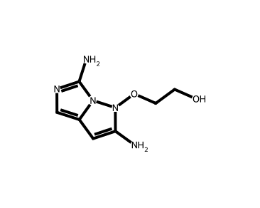 Nc1cc2cnc(N)n2n1OCCO